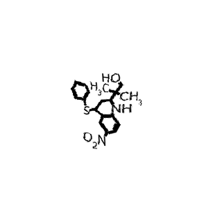 CC(C)(CO)C1CC(Sc2ccccc2)c2cc([N+](=O)[O-])ccc2N1